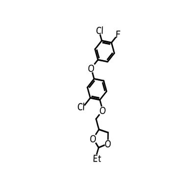 CCC1OCC(COc2ccc(Oc3ccc(F)c(Cl)c3)cc2Cl)O1